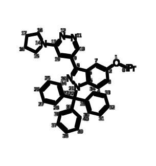 CC(C)Oc1ccc2c(c1)c(-c1cnnc(N3CCCC3)c1)nn2C(c1ccccc1)(c1ccccc1)c1ccccc1